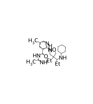 CCC(NC1CCCCC1)C(CC)(CO)CNc1ncc(C)cc1C(=O)NC(C)=N